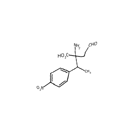 CC(c1ccc([N+](=O)[O-])cc1)C(N)(CC=O)C(=O)O